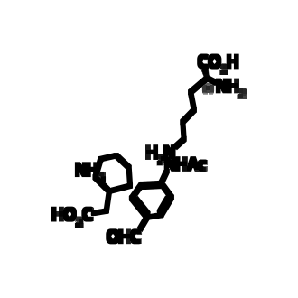 CC(=O)Nc1ccc(C=O)cc1.N.NCCCC[C@H](N)C(=O)O.O=C(O)CC1CCCCC1